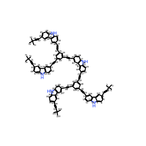 CC(C)(C)C#Cc1ccc2[nH]c3ccc(C#Cc4cc(C#Cc5ccc6[nH]c7ccc(C#Cc8cc(C#Cc9ccc%10[nH]c%11ccc(C#CC(C)(C)C)cc%11c%10c9)cc(C#Cc9ccc%10[nH]c%11ccc(C#CC(C)(C)C)cc%11c%10c9)c8)cc7c6c5)cc(C#Cc5ccc6[nH]c7ccc(C#CC(C)(C)C)cc7c6c5)c4)cc3c2c1